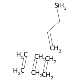 C=C.C=C.C=C.C=CC[SiH3]